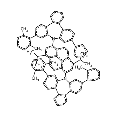 Cc1ccccc1-c1ccc2c(c1)N(c1cc(C(C)C)c3ccc4c(N5c6cc(-c7ccccc7)ccc6-c6ccccc6-c6ccc(-c7c(C)cccc7C)cc65)cc(C(C)C)c5ccc1c3c54)c1cc(-c3c(C)cccc3C)ccc1-c1ccccc1-2